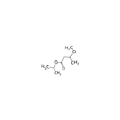 COC(C)CC(=O)OC(C)C